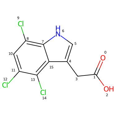 O=C(O)Cc1c[nH]c2c(Cl)cc(Cl)c(Cl)c12